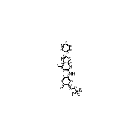 Cc1ccc(Nc2cc(C)c3nc(-c4cccnc4)sc3n2)cc1SCC(F)(F)F